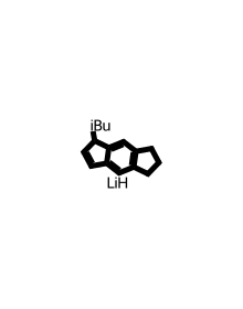 CCC(C)C1C=Cc2cc3c(cc21)CCC3.[LiH]